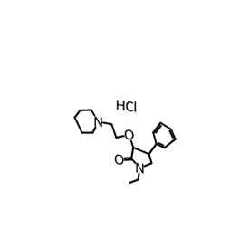 CCN1CC(c2ccccc2)C(OCCN2CCCCC2)C1=O.Cl